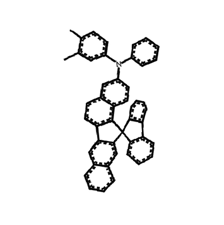 Cc1ccc(N(c2ccccc2)c2ccc3c4c(ccc3c2)-c2cc3ccccc3cc2C42c3ccccc3-c3ccccc32)cc1C